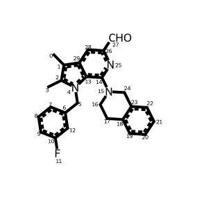 Cc1c(C)n(Cc2cccc(F)c2)c2c(N3CCc4ccccc4C3)nc(C=O)cc12